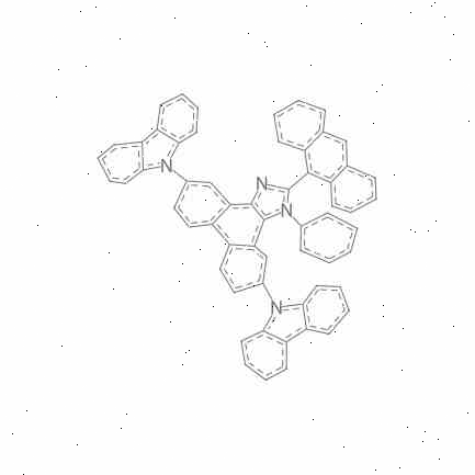 c1ccc(-n2c(-c3c4ccccc4cc4ccccc34)nc3c4cc(-n5c6ccccc6c6ccccc65)ccc4c4ccc(-n5c6ccccc6c6ccccc65)cc4c32)cc1